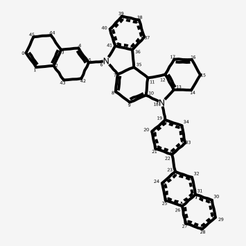 C1=CC2=C(C=C(N3C4=CC=C5C(C6=C(CCC=C6)N5c5ccc(-c6ccc7ccccc7c6)cc5)C4c4ccccc43)CC2)CC1